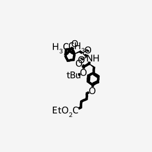 CCOC(=O)CCCCOc1ccc(C[C@H](NS(=O)(=O)C[C@]23CCC(CC2=O)C3(C)C)C(=O)OC(C)(C)C)cc1